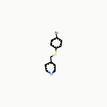 CC(=O)c1ccc(SCc2ccncc2)cc1